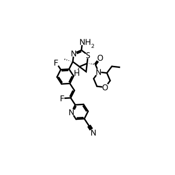 CCC1COCCN1C(=O)[C@]12C[C@H]1[C@@](C)(c1cc(/C=C(\F)c3ccc(C#N)cn3)ccc1F)N=C(N)S2